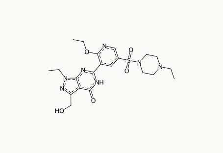 CCOc1ncc(S(=O)(=O)N2CCN(CC)CC2)cc1-c1nc2c(c(CO)nn2CC)c(=O)[nH]1